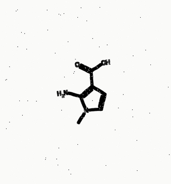 Cn1ccc(C(=O)O)c1N